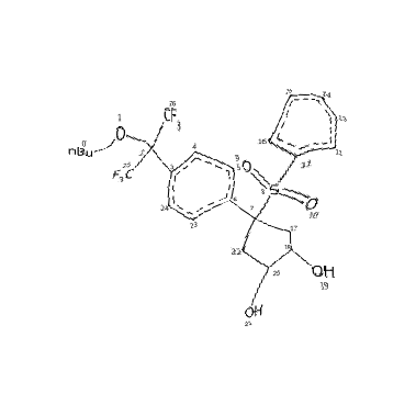 CCCCOC(c1ccc(C2(S(=O)(=O)c3ccccc3)CC(O)C(O)C2)cc1)(C(F)(F)F)C(F)(F)F